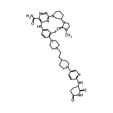 CN1CCN([C@@H]2CCCN(c3nnc(C(N)=O)c(Nc4ccc(N5CCN(CCC6CCN(c7ccc(NC8CCC(=O)NC8=O)nc7)CC6)CC5)c(F)c4)n3)C2)C1=O